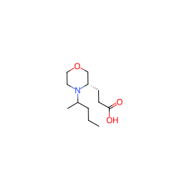 CCCC(C)N1CCOC[C@@H]1CCC(=O)O